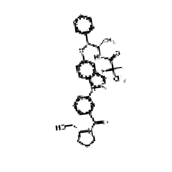 C[C@H](NC(=O)C(C)(F)F)[C@@H](Oc1ccc2c(cnn2-c2cccc(C(=O)N3CCC[C@@H]3CO)c2)c1)c1ccccc1